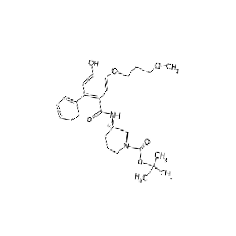 COCCCOc1cc(C(=O)N[C@@H]2CCCN(C(=O)OC(C)(C)C)C2)c(C2=CC=CCC2)cc1O